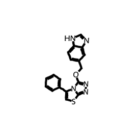 c1ccc(-c2csc3nnc(OCc4ccc5[nH]cnc5c4)n23)cc1